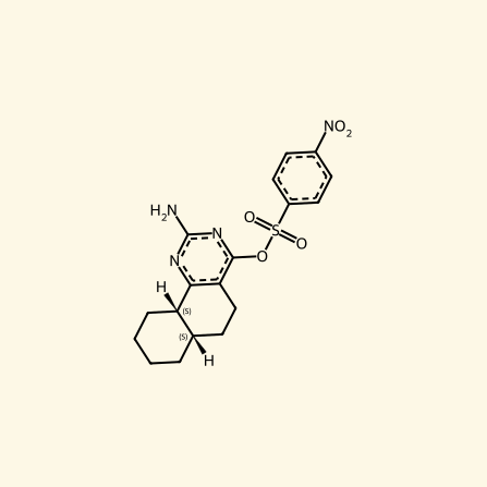 Nc1nc(OS(=O)(=O)c2ccc([N+](=O)[O-])cc2)c2c(n1)[C@H]1CCCC[C@H]1CC2